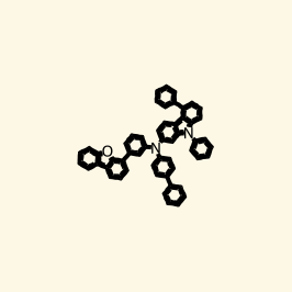 c1ccc(-c2ccc(N(c3cccc(-c4cccc5c4oc4ccccc45)c3)c3ccc4c5c(-c6ccccc6)cccc5n(-c5ccccc5)c4c3)cc2)cc1